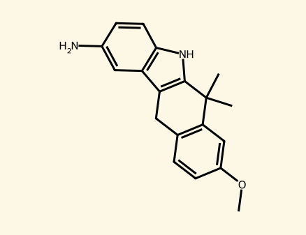 COc1ccc2c(c1)C(C)(C)c1[nH]c3ccc(N)cc3c1C2